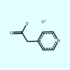 O=C([S-])Cc1ccncc1.[Li+]